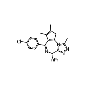 CCC[C@@H]1N=C(c2ccc(Cl)cc2)C2=C(CC(C)=C2C)n2c(C)nnc21